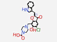 O=C1/C(=C/c2c[nH]c3ccccc23)Oc2c1cc(Cl)c(O)c2CN1CCN(C(=O)O)CC1